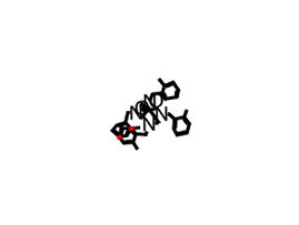 Cc1ccccc1CN1C2C(=O)C3N(Cc4ccccc4C)C1C(=O)C(N2Cc1ccccc1C)N3Cc1ccccc1C